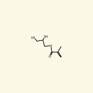 C=C(C)C(=O)OCC(S)CS